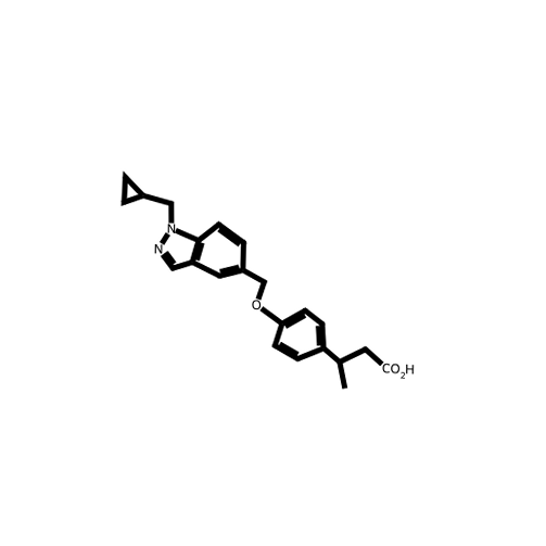 CC(CC(=O)O)c1ccc(OCc2ccc3c(cnn3CC3CC3)c2)cc1